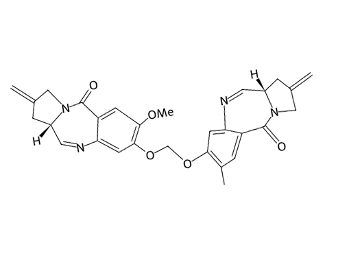 C=C1C[C@H]2C=Nc3cc(OCOc4cc5c(cc4OC)C(=O)N4CC(=C)C[C@H]4C=N5)c(C)cc3C(=O)N2C1